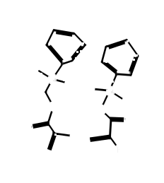 C=C(C)C(=O)OC[Si](C)(C)c1ccccc1.C=C(CC)C(=O)O[Si](C)(C)c1ccccc1